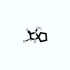 CC[C@@H]1NC2(CCCC2)N(C)C1=O